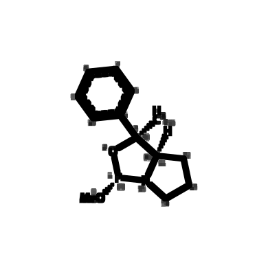 CO[P@]1O[C@@](C)(c2ccccc2)[C@H]2CCCN21